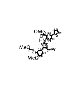 COCCOc1cc(-c2nc(Nc3ncc(-c4cccs4)nc3C(=O)OC)sc2CC(C)C)ccc1OC